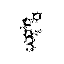 Cc1cc(Nc2ccn(-c3ccccc3)n2)cc(C)c1OC(=O)CN.Cl